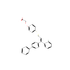 O=C(O)COc1ccc(SC/C=C(\c2ccc(-c3ccccc3)cc2)c2ccccc2Cl)cc1